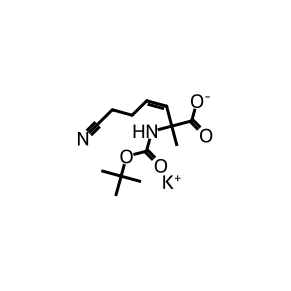 CC(C)(C)OC(=O)NC(C)(/C=C\CCC#N)C(=O)[O-].[K+]